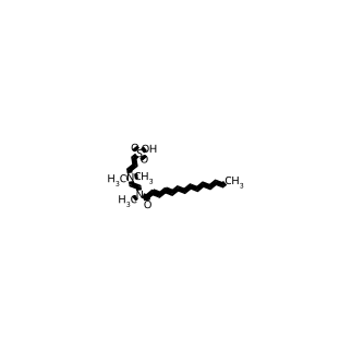 CCCCCCCCCC=CC=CC(=O)N(C)CC[N+](C)(C)CCCS(=O)(=O)O